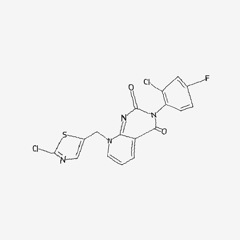 O=c1nc2n(Cc3cnc(Cl)s3)cccc-2c(=O)n1-c1ccc(F)cc1Cl